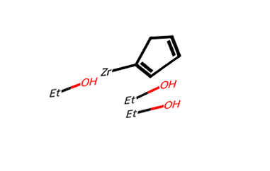 CCO.CCO.CCO.[Zr][C]1=CC=CC1